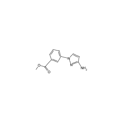 COC(=O)c1cccc(-n2ccc(N)n2)c1